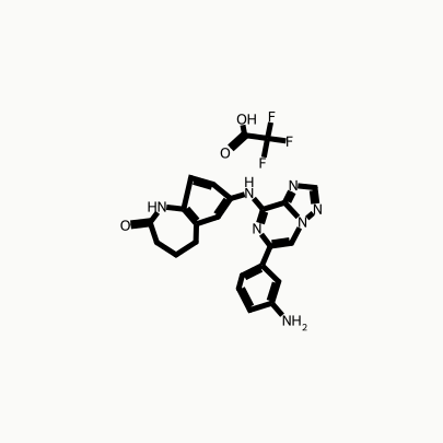 Nc1cccc(-c2cn3ncnc3c(Nc3ccc4c(c3)CCCC(=O)N4)n2)c1.O=C(O)C(F)(F)F